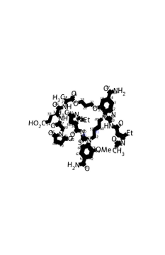 CCc1nc(C)oc1C(=O)Nc1nc2cc(C(N)=O)cc(OCCCOC(=O)[C@H](C)NC(=O)[C@H](CCC(=O)O)NC(=O)CN3C(=O)C=CC3=O)c2n1C/C=C/Cn1/c(=N/C(=O)c2cc(C)nn2CC)sc2cc(C(N)=O)cc(OC)c21